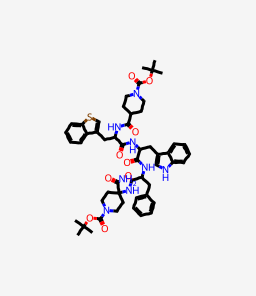 CC(C)(C)OC(=O)N1CCC(C(=O)NC(Cc2csc3ccccc23)C(=O)NC(Cc2c[nH]c3ccccc23)C(=O)NC(Cc2ccccc2)C(=O)NC2(C(N)=O)CCN(C(=O)OC(C)(C)C)CC2)CC1